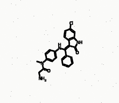 CN(C(=O)CN)c1ccc(NC(=C2C(=O)Nc3cc(Cl)ccc32)c2ccccc2)cc1